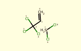 C=CC(Cl)(Cl)Cl.Cl[SiH2]Cl